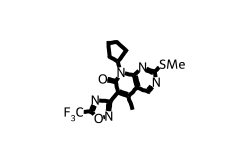 CSc1ncc2c(C)c(-c3noc(C(F)(F)F)n3)c(=O)n(C3CCCC3)c2n1